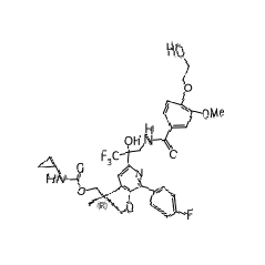 COc1cc(C(=O)NCC(O)(c2cc3c(c(-c4ccc(F)cc4)n2)OC[C@]3(C)COC(=O)NC2CC2)C(F)(F)F)ccc1OCCO